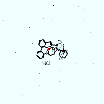 Cl.O=C(N[C@H]1CN2CCC1CC2)c1cc2cccc(-c3ccccc3N3CCOCC3)c2s1